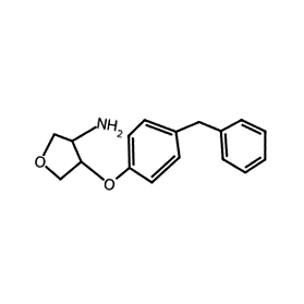 NC1COCC1Oc1ccc(Cc2ccccc2)cc1